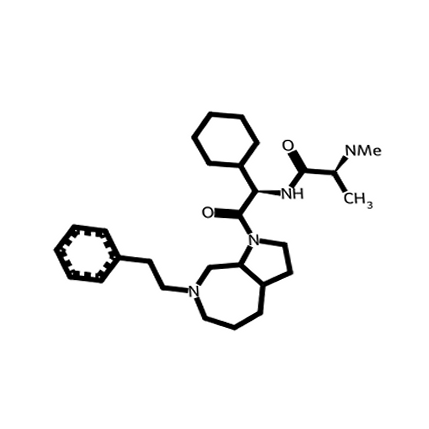 CN[C@@H](C)C(=O)N[C@@H](C(=O)N1CCC2CCCN(CCc3ccccc3)CC21)C1CCCCC1